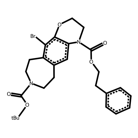 CC(C)(C)OC(=O)N1CCc2cc3c(c(Br)c2CC1)OCCN3C(=O)OCCc1ccccc1